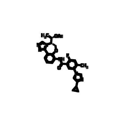 CC(=O)O[C@@H](C)[C@@H]1COc2c(NC(=O)c3cc(-n4cnc(C5CC5)c4)c(C)cc3F)cccc2-c2nncn21